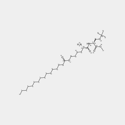 CCCCCCCCCCCCCCCC(=O)OCCSC[C@H](N)C(=O)N[C@@H](COC(C)(C)C)C(=O)OC